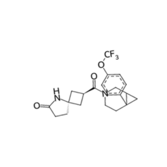 O=C1CC[C@]2(C[C@H](C(=O)N3CCC4(c5ccc(OC(F)(F)F)cc5)CC4C3)C2)N1